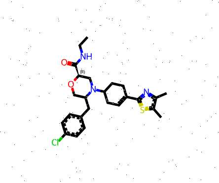 CCNC(=O)[C@H]1CN(C2CC=C(c3nc(C)c(C)s3)CC2)C(Cc2ccc(Cl)cc2)CO1